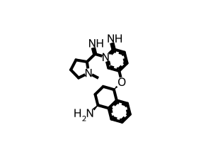 CN1CCCC1C(=N)n1cc(O[C@H]2CC[C@H](N)c3ccccc32)ccc1=N